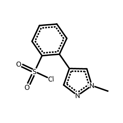 Cn1cc(-c2ccccc2S(=O)(=O)Cl)cn1